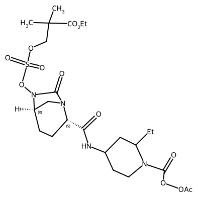 CCOC(=O)C(C)(C)COS(=O)(=O)ON1C(=O)N2C[C@H]1CC[C@H]2C(=O)NC1CCN(C(=O)OOC(C)=O)C(CC)C1